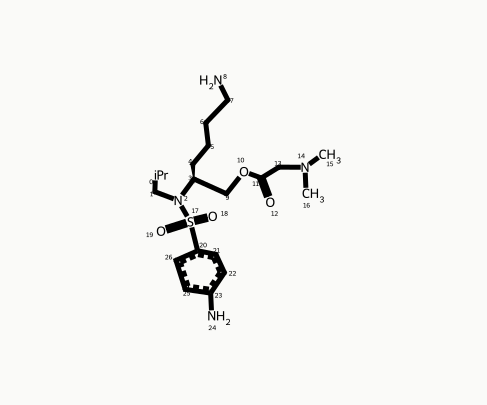 CC(C)CN([C@@H](CCCCN)COC(=O)CN(C)C)S(=O)(=O)c1ccc(N)cc1